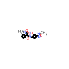 Cc1nc(-c2ccc(CNC(=O)c3c(O)c(=O)n(C)c4ccccc34)cc2)no1